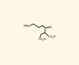 CCCCCCCCCCCCN(CC)C(CC(=O)O)C(=O)O